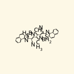 Bn1c(C)c2/c(=C(\C#N)c3nc4c(ccc5ccccc54)s3)n(B)c(C)c2/c1=C(\C#N)c1nc2c(ccc3ccccc32)s1